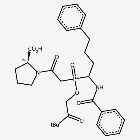 CC(C)(C)C(=O)COP(=O)(CC(=O)N1CCC[C@H]1C(=O)O)C(CCCc1ccccc1)NC(=O)c1ccccc1